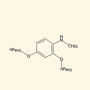 CCCCCOc1ccc(N[C]=O)c(OCCCCC)c1